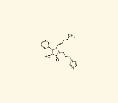 CCC/C=C/C1C(c2ccccc2)=C(O)C(=O)N1CCCn1ccnc1